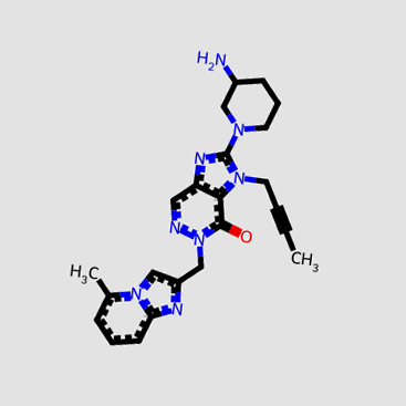 CC#CCn1c(N2CCCC(N)C2)nc2cnn(Cc3cn4c(C)cccc4n3)c(=O)c21